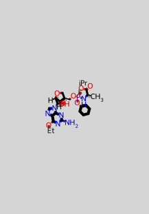 CCOc1nc(N)nc2c1ncn2[C@@H]1O[C@@]2(COP(=S)(N[C@H](C)C(=O)OC(C)C)Oc3ccccc3)CO[C@@H]1[C@@H]2O